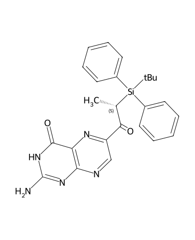 C[C@@H](C(=O)c1cnc2nc(N)[nH]c(=O)c2n1)[Si](c1ccccc1)(c1ccccc1)C(C)(C)C